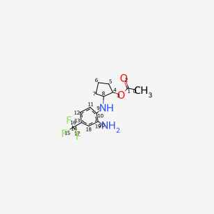 CC(=O)OC1CCCC1Nc1ccc(C(F)(F)F)cc1N